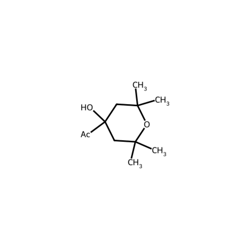 CC(=O)C1(O)CC(C)(C)OC(C)(C)C1